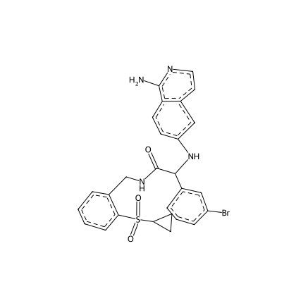 Nc1nccc2cc(NC(C(=O)NCc3ccccc3S(=O)(=O)C3CC3)c3cccc(Br)c3)ccc12